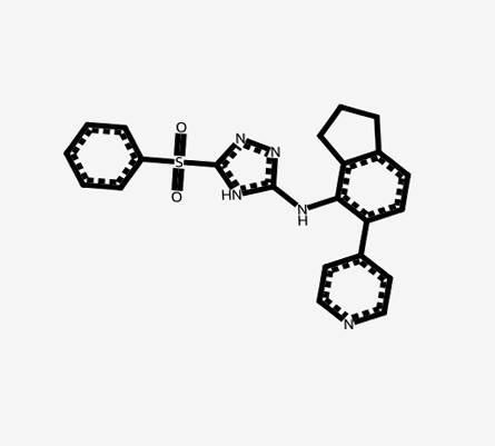 O=S(=O)(c1ccccc1)c1nnc(Nc2c(-c3ccncc3)ccc3c2CCC3)[nH]1